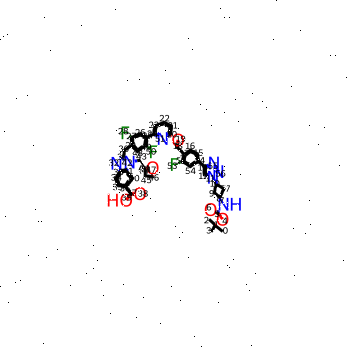 CC(C)(C)OC(=O)NC1CC(n2cc(-c3ccc(COc4cccc(-c5cc(F)c(Cc6nc7ccc(C(=O)O)cc7n6C[C@@H]6CCO6)cc5F)n4)c(F)c3)nn2)C1